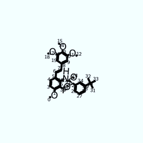 COc1ccc(C=Cc2cc(OC)c(OC)c(OC)c2)c(NS(=O)(=O)c2cccc(C(C)(C)C)c2)c1F